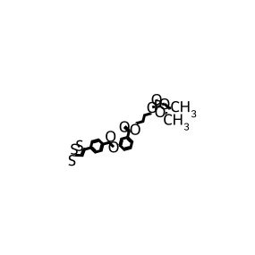 CCOP(=O)(OCC)OCCCCOC(=O)c1cccc(OC(=O)c2ccc(-c3cc(=S)ss3)cc2)c1